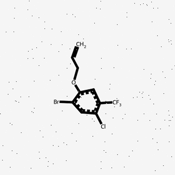 C=CCOc1cc(C(F)(F)F)c(Cl)cc1Br